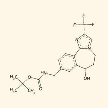 CC(C)(C)OC(=O)NCc1ccc2c(c1)C(O)CCn1cc(C(F)(F)F)nc1-2